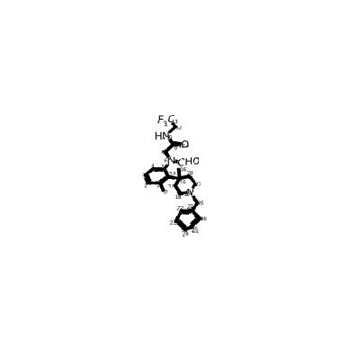 Cc1cccc(N(C=O)CC(=O)NCC(F)(F)F)c1C1(C)CCN(Cc2ccccc2)CC1